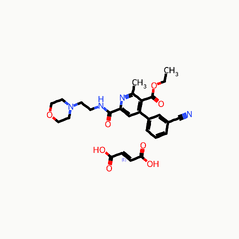 CCOC(=O)c1c(-c2cccc(C#N)c2)cc(C(=O)NCCN2CCOCC2)nc1C.O=C(O)/C=C/C(=O)O